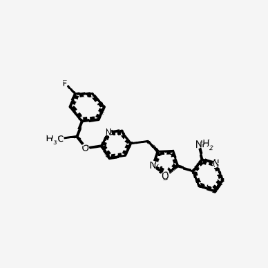 CC(Oc1ccc(Cc2cc(-c3cccnc3N)on2)cn1)c1cccc(F)c1